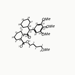 COCCCCOC(=O)C1CCCCN1C(=O)C(c1cc(OC)c(OC)c(OC)c1)C1CCCCC1